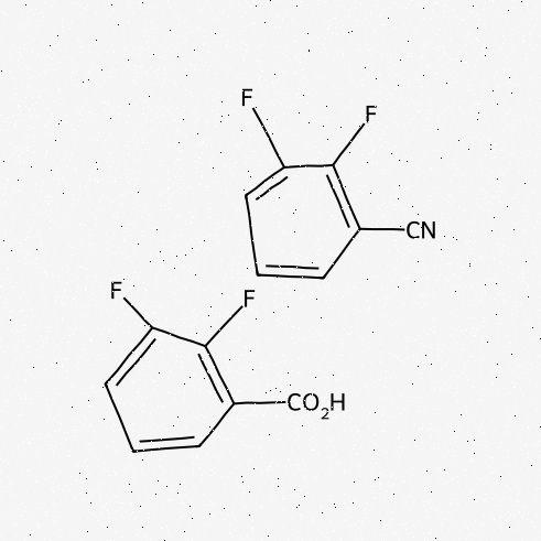 N#Cc1cccc(F)c1F.O=C(O)c1cccc(F)c1F